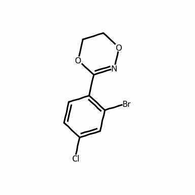 Clc1ccc(C2=NOCCO2)c(Br)c1